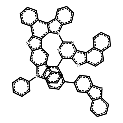 c1ccc(-c2nc(-n3c4ccccc4c4c5ccccc5c5sc6cc7c(cc6c5c43)c3cc(-c4ccc5sc6ccccc6c5c4)ccc3n7-c3ccccc3)nc3c2oc2ccc4ccccc4c23)cc1